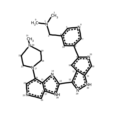 CN(C)Cc1cncc(-c2cc3c(-c4nc5c(N6CCN(C)CC6)cncc5[nH]4)n[nH]c3cn2)c1